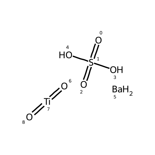 O=S(=O)(O)O.[BaH2].[O]=[Ti]=[O]